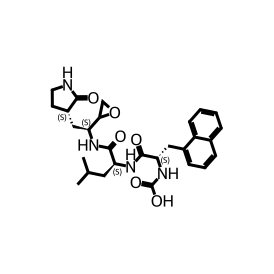 CC(C)C[C@H](NC(=O)[C@H](Cc1cccc2ccccc12)NC(=O)O)C(=O)N[C@@H](C[C@@H]1CCNC1=O)C1CO1